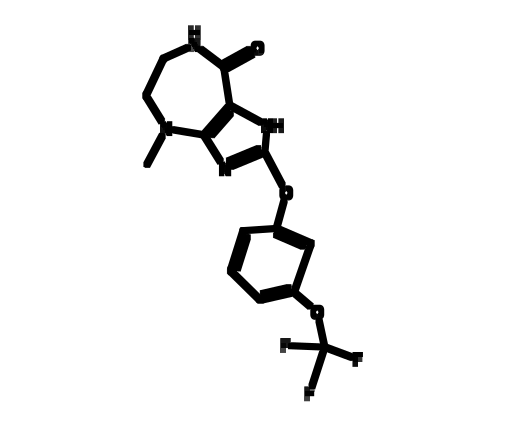 CN1CCNC(=O)c2[nH]c(Oc3cccc(OC(F)(F)F)c3)nc21